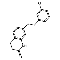 O=C1CCc2ccc(OCc3cccc(Cl)c3)cc2N1